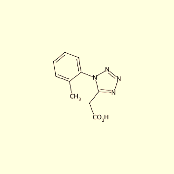 Cc1ccccc1-n1nnnc1CC(=O)O